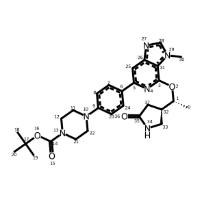 C[C@@H](Oc1nc(-c2ccc(N3CCN(C(=O)OC(C)(C)C)CC3)cc2)cc2ncn(C)c12)[C@H]1CNC(=O)C1